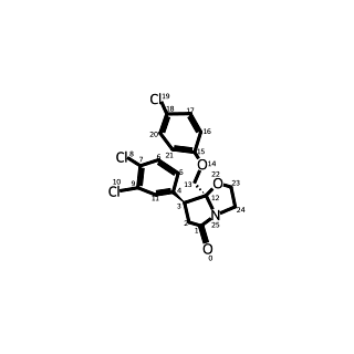 O=C1C[C@@H](c2ccc(Cl)c(Cl)c2)[C@@]2(COc3ccc(Cl)cc3)OCCN12